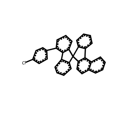 Clc1ccc(-c2cccc3c2-c2ccccc2C32c3ccccc3-c3c2ccc2ccccc32)cc1